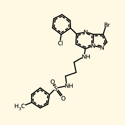 Cc1ccc(S(=O)(=O)NCCCNc2cc(-c3ccccc3Cl)nc3c(Br)cnn23)cc1